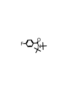 CC(C)(C)N(C(=O)c1ccc(F)cc1)C(C)(C)C